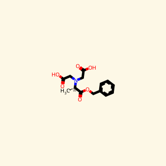 C[C@@H](C(=O)OCc1ccccc1)N(CC(=O)O)CC(=O)O